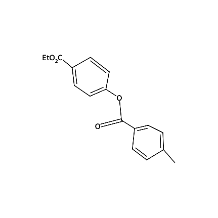 CCOC(=O)c1ccc(OC(=O)c2ccc(C)cc2)cc1